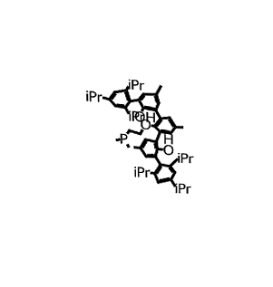 Cc1cc(-c2cc(C)cc(-c3cc(C)cc(-c4c(C(C)C)cc(C(C)C)cc4C(C)C)c3O)c2OCCP(C)C)c(O)c(-c2c(C(C)C)cc(C(C)C)cc2C(C)C)c1